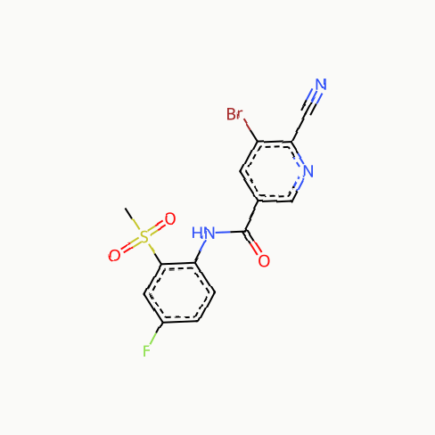 CS(=O)(=O)c1cc(F)ccc1NC(=O)c1cnc(C#N)c(Br)c1